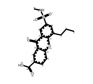 CCCc1cc(S(=O)(=O)NC)cc2c(=O)c3cc(C(=O)O)ccc3oc12